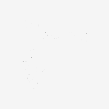 c1ccc(-c2ccc(-c3ccc(N(c4ccc(-c5ccc(-c6cccc(-c7oc8ccccc8c7-c7ccccc7)c6)cc5)cc4)c4cccc(-c5ccccc5)c4)cc3)cc2)cc1